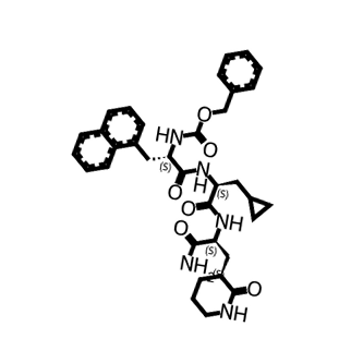 NC(=O)[C@H](C[C@@H]1CCCNC1=O)NC(=O)[C@H](CC1CC1)NC(=O)[C@H](Cc1cccc2ccccc12)NC(=O)OCc1ccccc1